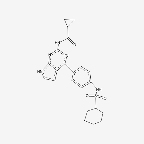 O=C(Nc1nc(-c2ccc(NS(=O)(=O)C3CCCCC3)cc2)c2cc[nH]c2n1)C1CC1